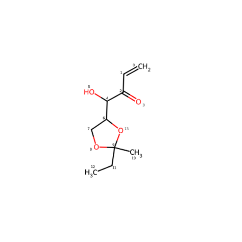 C=CC(=O)C(O)C1COC(C)(CC)O1